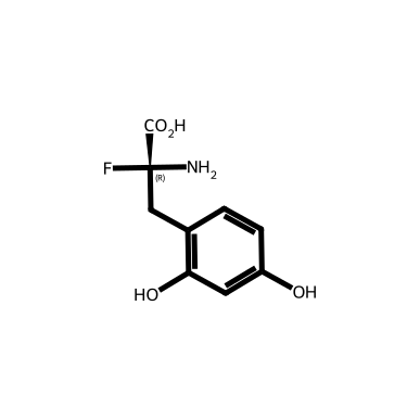 N[C@@](F)(Cc1ccc(O)cc1O)C(=O)O